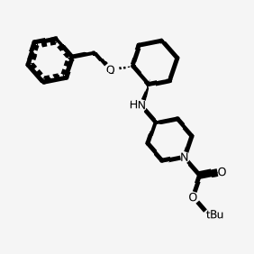 CC(C)(C)OC(=O)N1CCC(N[C@@H]2CCCC[C@H]2OCc2ccccc2)CC1